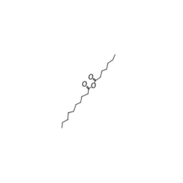 CCCCCCCCCC(=O)OC(=O)CCCCCC